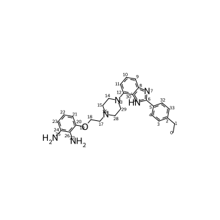 CCc1ccc(-c2nc3cccc(N4CCN(CCOc5cccc(N)c5N)CC4)c3[nH]2)cc1